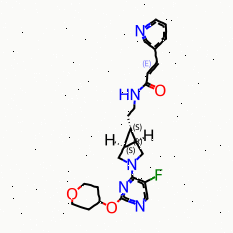 O=C(/C=C/c1cccnc1)NCC[C@@H]1[C@H]2CN(c3nc(OC4CCOCC4)ncc3F)C[C@@H]12